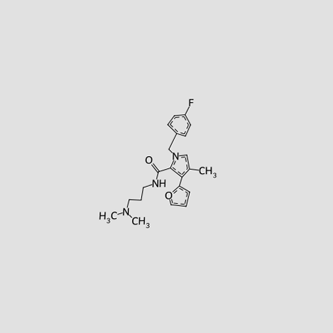 Cc1cn(Cc2ccc(F)cc2)c(C(=O)NCCCN(C)C)c1-c1ccco1